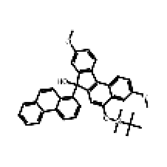 COc1ccc2c(c1)C(O)(c1cccc3c1ccc1ccccc13)c1cc(O[Si](C)(C)C(C)(C)C)c3cc(OC)ccc3c1-2